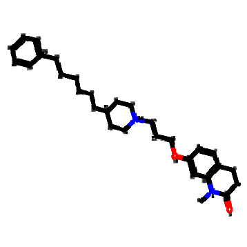 CN1C(=O)CCc2ccc(OCCCN3CCC(CCCCCCc4ccccc4)CC3)cc21